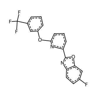 Fc1ccc2nc(-c3cccc(Oc4cccc(C(F)(F)F)c4)n3)oc2c1